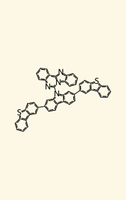 c1ccc2c(c1)nc(-n1c3cc(-c4ccc5sc6ccccc6c5c4)ccc3c3ccc(-c4ccc5sc6ccccc6c5c4)cc31)n1c3ccccc3nc21